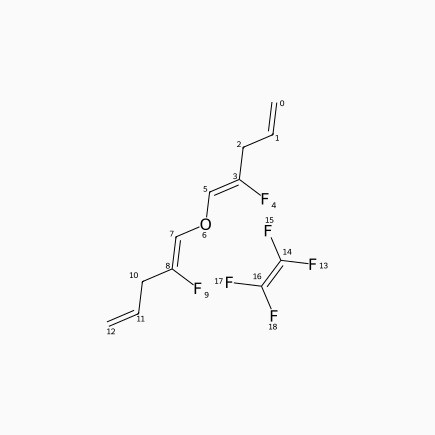 C=CCC(F)=COC=C(F)CC=C.FC(F)=C(F)F